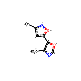 Cc1cc(-c2ocnc2C(=O)O)on1